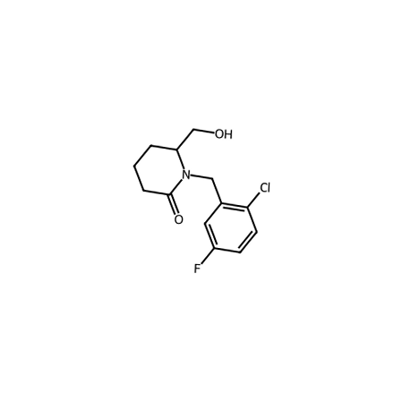 O=C1CCCC(CO)N1Cc1cc(F)ccc1Cl